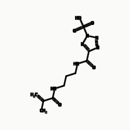 C=C(C)C(=O)NCCCNC(=O)c1nnn(S(=O)(=O)O)n1